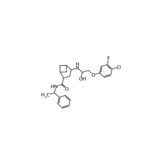 CC(NC(=O)C1CC(NC(O)COc2ccc(Cl)c(F)c2)C2CC1C2)c1ccccc1